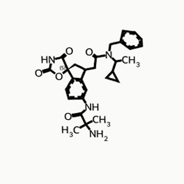 CC(C1CC1)N(Cc1ccccc1)C(=O)CC1C[C@]2(OC(=O)NC2=O)c2ccc(NC(=O)C(C)(C)N)cc21